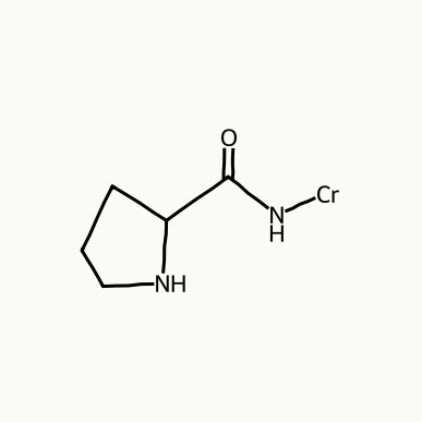 O=C([NH][Cr])C1CCCN1